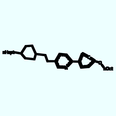 CCCCCCCCOc1ccc(-c2ccc(CCC3CCC(CCCCCCC)CC3)cn2)cc1